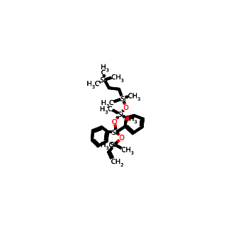 C=C[Si](C)(C)O[Si](O[Si](C)(C)O[Si](C)(C)CC[Si](C)(C)C)(c1ccccc1)c1ccccc1